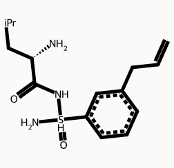 C=CCc1cccc([SH](N)(=O)NC(=O)[C@@H](N)CC(C)C)c1